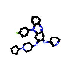 Fc1ccc(-n2c3c/c(=N\C4CCN(C5CCCC5)CC4)c(NC4=CN=CCC4)cc-3nc3ccccc32)cc1